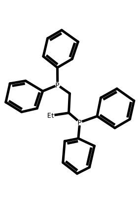 CCC(CP(c1ccccc1)c1ccccc1)P(c1ccccc1)c1ccccc1